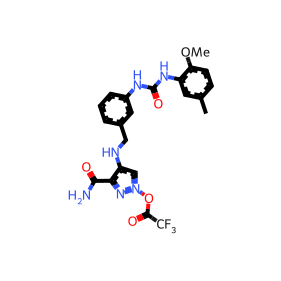 COc1ccc(C)cc1NC(=O)Nc1cccc(CNc2cn(OC(=O)C(F)(F)F)nc2C(N)=O)c1